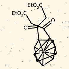 CCOC(=O)CC(=O)[C]12[CH]3[CH]4[CH]5[CH]1[Fe]45321678[CH]2[CH]1[CH]6[C]7(C(=O)CC(=O)OCC)[CH]28